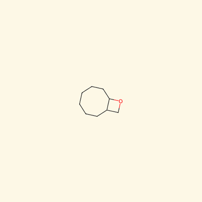 C1CCCC2OCC2CC1